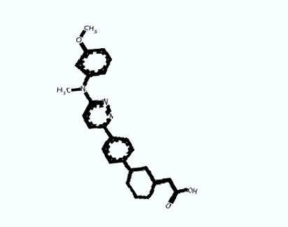 COc1cccc(N(C)c2ccc(-c3ccc(C4CCCC(CC(=O)O)C4)cc3)nn2)c1